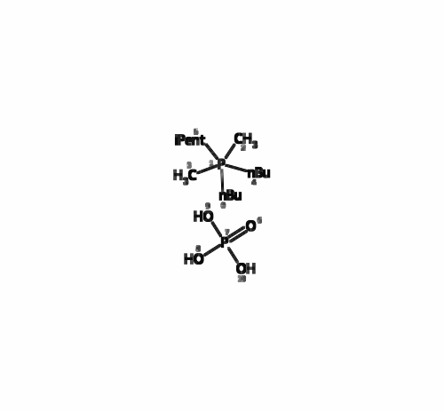 CCCCP(C)(C)(CCCC)C(C)CCC.O=P(O)(O)O